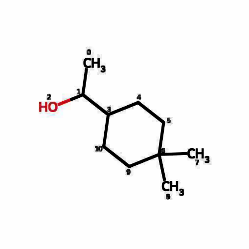 CC(O)C1CCC(C)(C)CC1